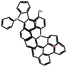 CC(C)(C)c1ccc(N(c2ccccc2-c2ccc3c4ccccc4n(-c4ccccc4)c3c2)c2ccccc2-c2cccc3cccc(-c4ccccc4)c23)c(-c2ccccc2)c1